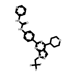 O=C(Nc1ccc(-c2nc(C3CCOCC3)c3cnn(CC(F)(F)F)c3n2)cc1)Nc1cccnc1